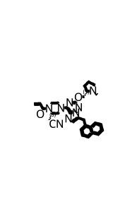 C=CC(=O)N1CCN(c2nc(OC[C@@H]3CCCN3C)nn3c(Cc4cccc5ccccc45)cnc23)C[C@@H]1CC#N